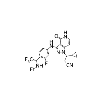 CCN[C@H](c1ccc(Nc2nn(C(CC#N)C3CC3)c3cc[nH]c(=O)c23)cc1F)C(F)(F)F